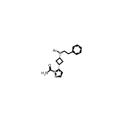 CC(=O)N(CCc1ccccc1)[C@H]1C[C@@H](c2c[c]nn2C(N)=O)C1